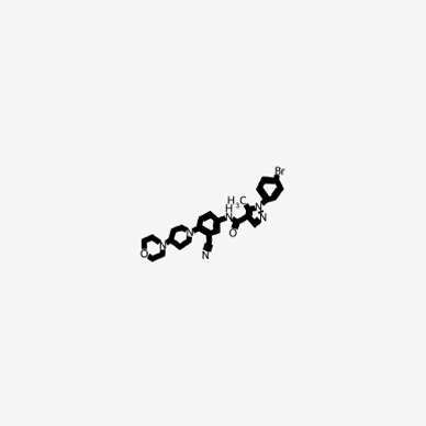 Cc1c(C(=O)Nc2ccc(N3CCC(N4CCOCC4)CC3)c(C#N)c2)cnn1-c1ccc(Br)cc1